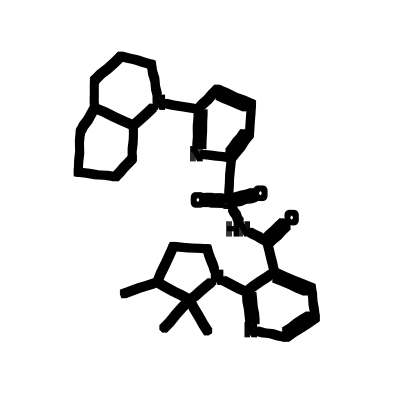 CC1CCN(c2ncccc2C(=O)NS(=O)(=O)c2cccc(N3CCCC4CCCCC43)n2)C1(C)C